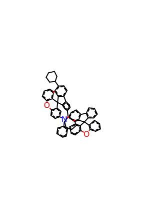 c1ccc(N(c2ccc3c(c2)C2(c4ccccc4O3)c3cc(C4CCCCC4)ccc3-c3ccc(C4CCCCC4)cc32)c2ccc3c(c2)C2(c4ccccc4Oc4ccccc42)c2ccccc2-3)cc1